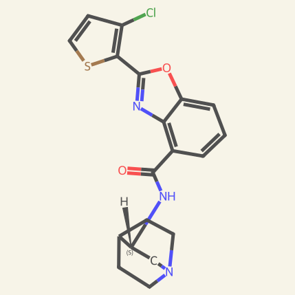 O=C(N[C@@H]1CN2CCC1CC2)c1cccc2oc(-c3sccc3Cl)nc12